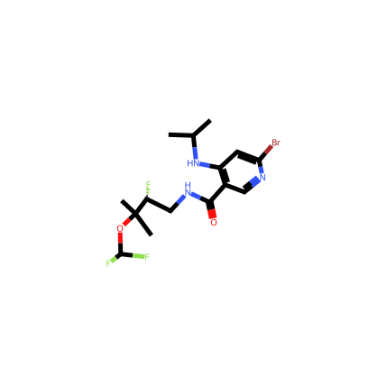 CC(C)Nc1cc(Br)ncc1C(=O)NC[C@@H](F)C(C)(C)OC(F)F